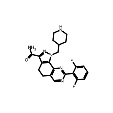 NC(=O)c1nn(CC2CCNCC2)c2c1CCc1cnc(-c3c(F)cccc3F)nc1-2